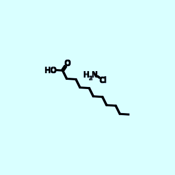 CCCCCCCCCCC(=O)O.NCl